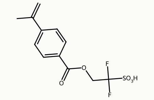 C=C(C)c1ccc(C(=O)OCC(F)(F)S(=O)(=O)O)cc1